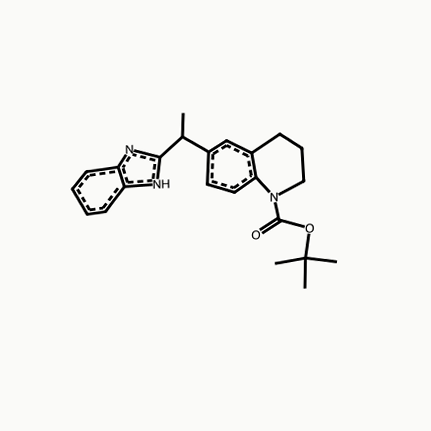 CC(c1ccc2c(c1)CCCN2C(=O)OC(C)(C)C)c1nc2ccccc2[nH]1